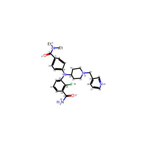 CCN(CC)C(=O)c1ccc(N(c2cccc(C(N)=O)c2F)C2CCN(Cc3cccnc3)CC2)cc1